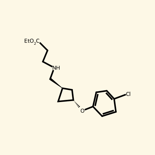 CCOC(=O)CCNC[C@H]1C[C@H](Oc2ccc(Cl)cc2)C1